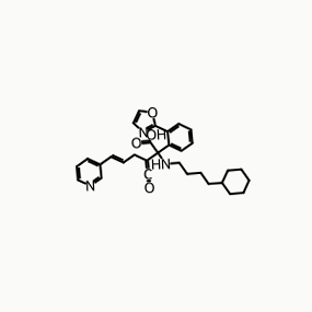 O=C=C(CC=Cc1cccnc1)C(NCCCCC1CCCCC1)(C(=O)O)c1ccccc1-c1ncco1